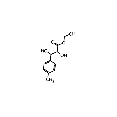 CCOC(=O)C(O)C(O)c1ccc(C)cc1